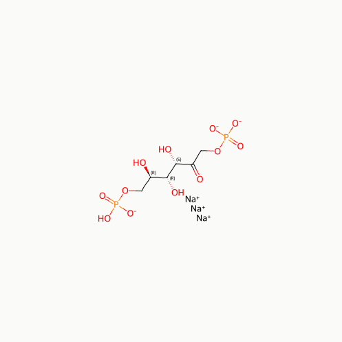 O=C(COP(=O)([O-])[O-])[C@@H](O)[C@H](O)[C@H](O)COP(=O)([O-])O.[Na+].[Na+].[Na+]